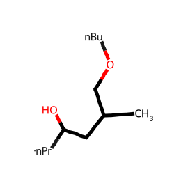 CC[CH]C(O)CC(C)COCCCC